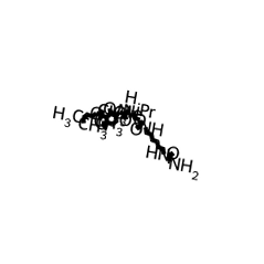 COC1C(OC(=O)N[C@@H](COC(=O)NCCCCCCNC(=O)CN)C(C)C)CCC2(CO2)C1C(C)(C)OCC=C(C)C